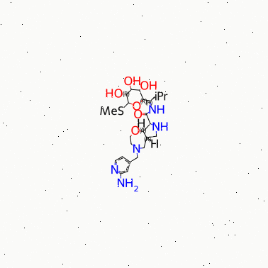 CSC1O[C@H]([C@H](NC(=O)C2NC[C@@H]3CN(Cc4ccnc(N)c4)CCO[C@@H]23)C(C)C)C(O)C(O)[C@H]1O